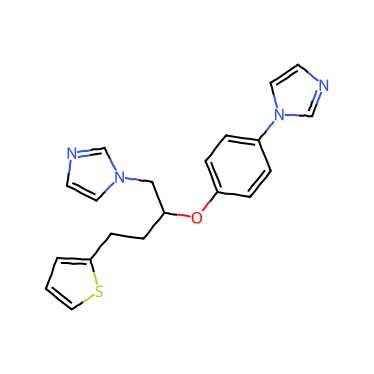 c1csc(CCC(Cn2ccnc2)Oc2ccc(-n3ccnc3)cc2)c1